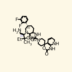 C=C1[C@H](NC(=O)N2CCC3(CC2)OC(=O)NC2=C3C=CCN2)CC[C@@H](c2cccc(F)c2F)CN1/C(=C\N)C(C)(C)CC